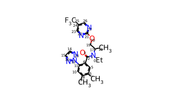 CCN(C(=O)c1cc(C)c(C)cc1-n1nccn1)C(C)COc1ncc(C(F)(F)F)cn1